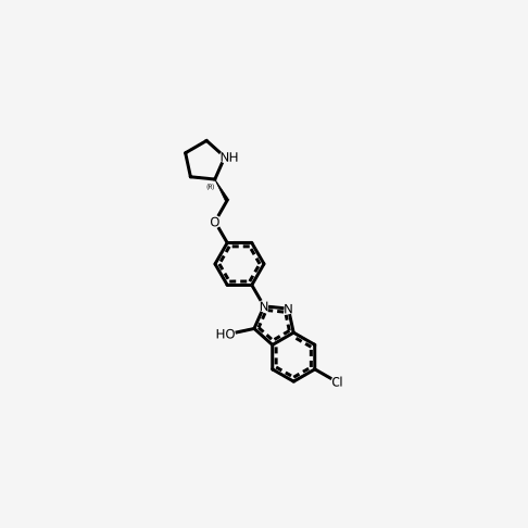 Oc1c2ccc(Cl)cc2nn1-c1ccc(OC[C@H]2CCCN2)cc1